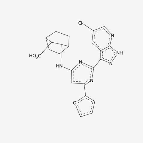 O=C(O)C1C2CCC(CC2)C1Nc1cc(-c2ccco2)nc(-c2n[nH]c3ncc(Cl)cc23)n1